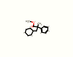 COC(=O)C(C)(CC1CCCCC1)c1ccccc1